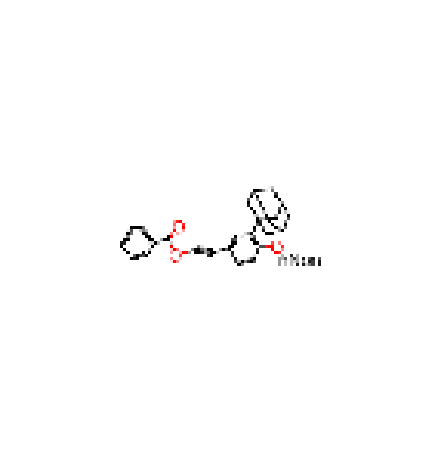 CCCCCCCCCOc1ccc(C#COC(=O)c2ccccc2)cc1C12CC3CC(CC(C3)C1)C2